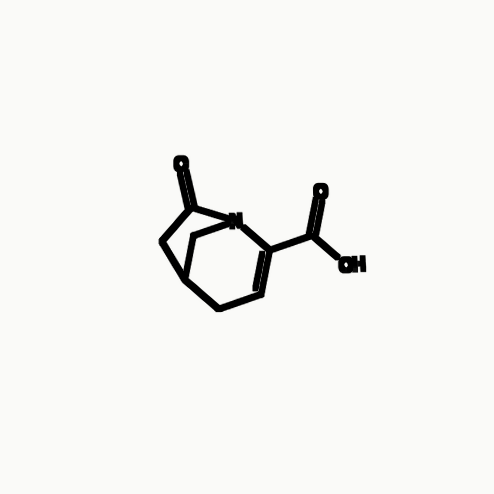 O=C(O)C1=CCC2CC(=O)N1C2